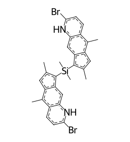 Cc1cc2c(C)c3ccc(Br)[nH]c3cc2c1[Si](C)(C)c1c(C)cc2c(C)c3ccc(Br)[nH]c3cc12